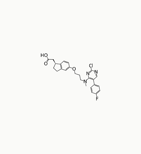 CN(CCCOc1ccc2c(c1)CC[C@H]2CC(=O)O)c1nc(Cl)ncc1-c1ccc(F)cc1